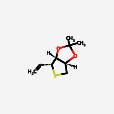 C=C[C@H]1SC[C@@H]2OC(C)(C)O[C@@H]21